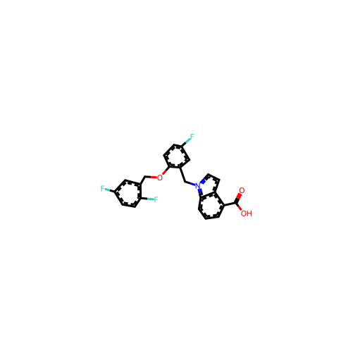 O=C(O)c1cccc2c1ccn2Cc1cc(F)ccc1OCc1cc(F)ccc1F